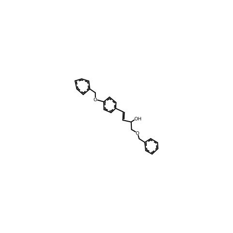 OC(C=Cc1ccc(OCc2ccccc2)cc1)COCc1ccccc1